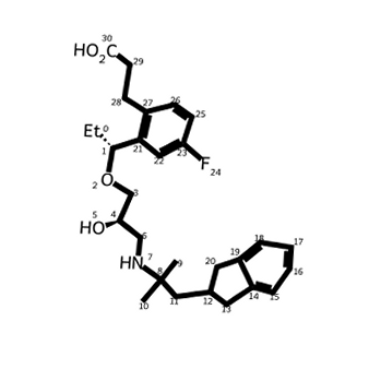 CC[C@@H](OC[C@H](O)CNC(C)(C)CC1Cc2ccccc2C1)c1cc(F)ccc1CCC(=O)O